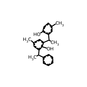 Cc1ccc(O)c(C(C)c2cc(C)cc(C(C)c3ccccc3)c2O)c1